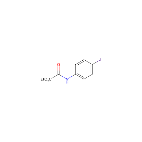 CCOC(=O)C(=O)Nc1ccc(I)cc1